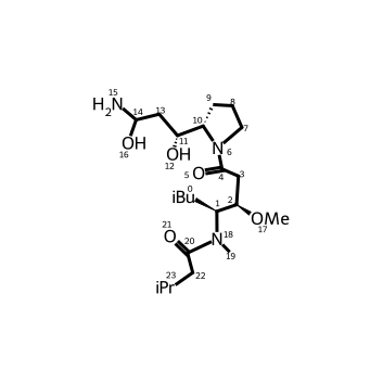 CCC(C)[C@@H]([C@@H](CC(=O)N1CCC[C@H]1[C@H](O)CC(N)O)OC)N(C)C(=O)CC(C)C